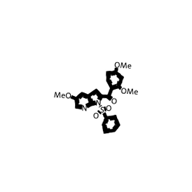 COc1ccc(C(=O)c2cc3cc(OC)cnc3n2S(=O)(=O)c2ccccc2)c(OC)c1